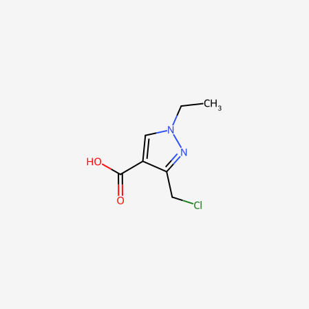 CCn1cc(C(=O)O)c(CCl)n1